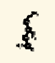 Cc1cc(Cl)sc1-c1ccc(-c2sc(-c3ccc(CCN)s3)cc2C)s1.I